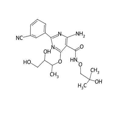 CC(Oc1nc(-c2cccc(C#N)c2)nc(N)c1C(=O)NOCC(C)(C)O)C(O)CO